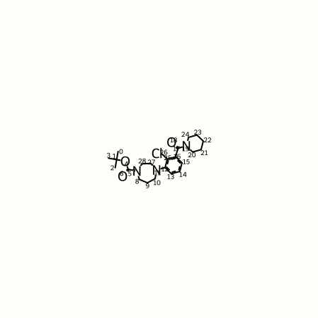 CC(C)(C)OC(=O)N1CCCN(c2cccc(C(=O)N3CCCCC3)c2Cl)CC1